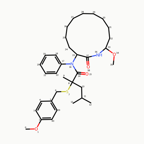 COc1ccc(CSC(C)(CC(C)C)C(=O)N(c2ccccc2)C2CCCCCCCCCC(OC)NC2=O)cc1